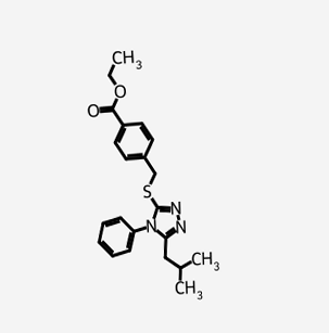 CCOC(=O)c1ccc(CSc2nnc(CC(C)C)n2-c2ccccc2)cc1